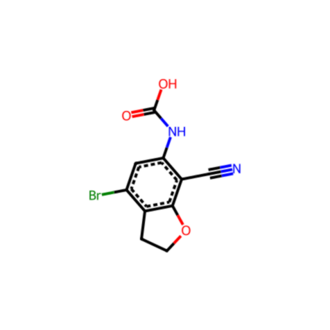 N#Cc1c(NC(=O)O)cc(Br)c2c1OCC2